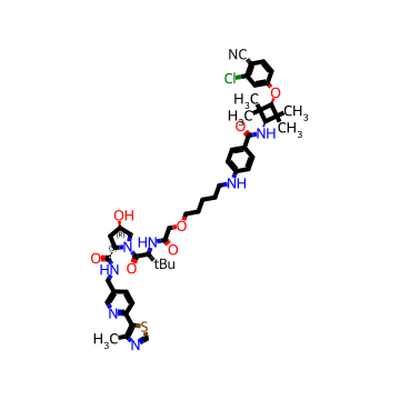 Cc1ncsc1-c1ccc(CNC(=O)[C@@H]2C[C@@H](O)CN2C(=O)C(NC(=O)COCCCCCNc2ccc(C(=O)N[C@H]3C(C)(C)[C@H](Oc4ccc(C#N)c(Cl)c4)C3(C)C)cc2)C(C)(C)C)cn1